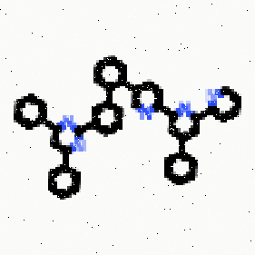 c1ccc(-c2cc(-c3ccccn3)nc(-c3ccc(-c4ccccc4-c4cccc(-c5nc(-c6ccccc6)cc(-c6ccccc6)n5)c4)cn3)c2)cc1